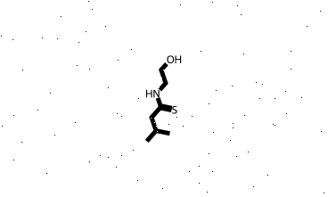 CC(C)CC(=S)NCCO